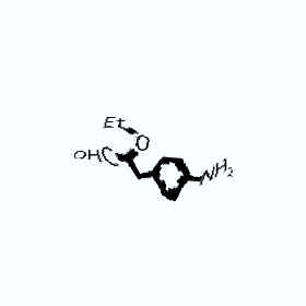 CCOC(C=O)Cc1ccc(N)cc1